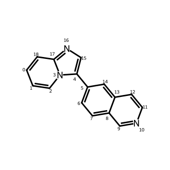 c1ccn2c(-c3ccc4cnccc4c3)cnc2c1